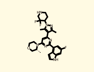 Cc1nn(C2CCNCC2(F)F)c(C)c1-c1cc(N2CCOC[C@H]2C)nc(-c2cc(F)cc3[nH]ccc23)n1